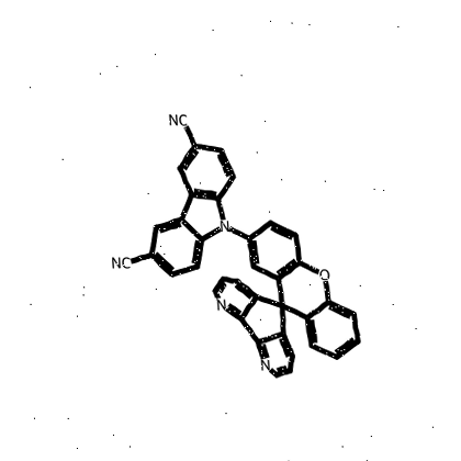 N#Cc1ccc2c(c1)c1cc(C#N)ccc1n2-c1ccc2c(c1)C1(c3ccccc3O2)c2cccnc2-c2ncccc21